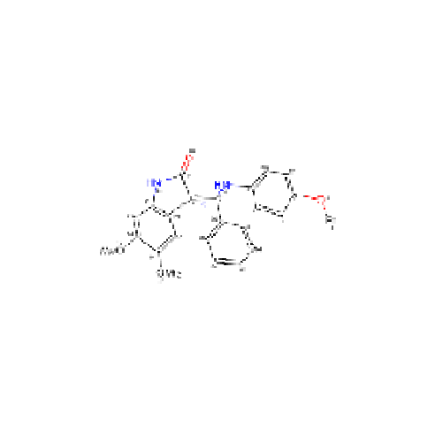 CCOc1ccc(N/C(=C2\C(=O)Nc3cc(OC)c(OC)cc32)c2ccccc2)cc1